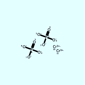 O=P([O-])([O-])[O-].O=P([O-])([O-])[O-].[Cr+3].[Cr+3]